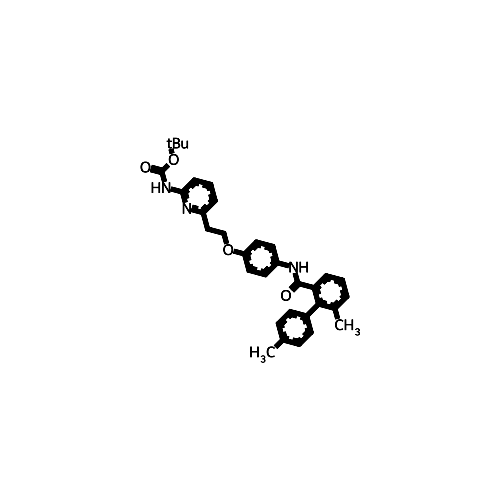 Cc1ccc(-c2c(C)cccc2C(=O)Nc2ccc(OCCc3cccc(NC(=O)OC(C)(C)C)n3)cc2)cc1